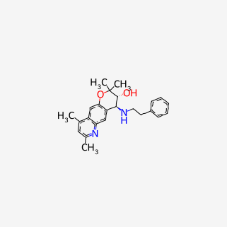 Cc1cc(C)c2cc3c(cc2n1)[C@H](NCCc1ccccc1)[C@@H](O)C(C)(C)O3